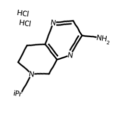 CC(C)N1CCc2ncc(N)nc2C1.Cl.Cl